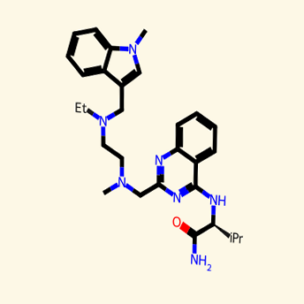 CCN(CCN(C)Cc1nc(N[C@H](C(N)=O)C(C)C)c2ccccc2n1)Cc1cn(C)c2ccccc12